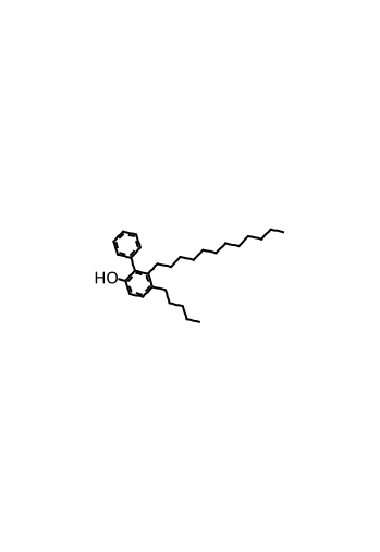 CCCCCCCCCCCCc1c(CCCCC)ccc(O)c1-c1ccccc1